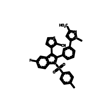 Cc1ccc(S(=O)(=O)n2c(-c3cccc(-c4cc(C(=O)O)nn4C)c3)c(-c3ccsc3C#N)c3cc(F)ccc32)cc1